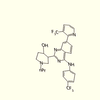 CCCN1CCC(O)C(c2nc(Nc3ccc(C(F)(F)F)cc3)c3ccc(-c4ncccc4C(F)(F)F)cc3n2)C1